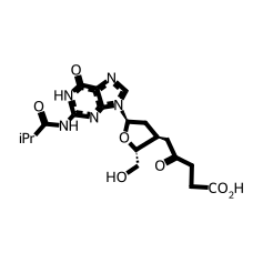 CC(C)C(=O)Nc1nc2c(ncn2[C@H]2C[C@@H](CC(=O)CCC(=O)O)[C@H](CO)O2)c(=O)[nH]1